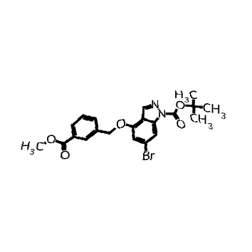 COC(=O)c1cccc(COc2cc(Br)cc3c2cnn3C(=O)OC(C)(C)C)c1